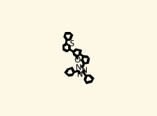 c1ccc(-c2nc(-c3ccccc3)nc(-c3cccc4c3oc3cc(-c5cccc6c5sc5ccccc56)ccc34)n2)cc1